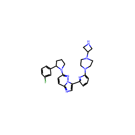 Fc1cccc(C2CCCN2c2ccc3ncc(-c4cccc(N5CCN(C6CNC6)CC5)n4)n3n2)c1